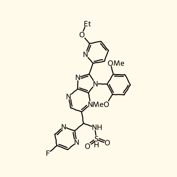 CCOc1cccc(-c2nc3ncc(C(N[SH](=O)=O)c4ncc(F)cn4)nc3n2-c2c(OC)cccc2OC)n1